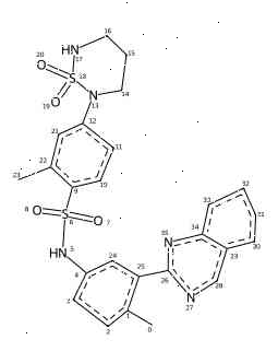 Cc1ccc(NS(=O)(=O)c2ccc(N3CCCNS3(=O)=O)cc2C)cc1-c1ncc2ccccc2n1